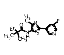 CCC(C)(C)C(=O)Nc1sc(-c2cncc(F)c2)nc1C